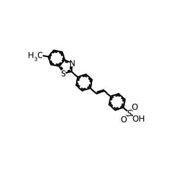 Cc1ccc2nc(-c3ccc(/C=C/c4ccc(S(=O)(=O)O)cc4)cc3)sc2c1